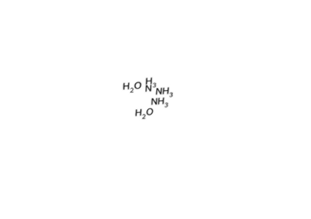 N.N.N.O.O